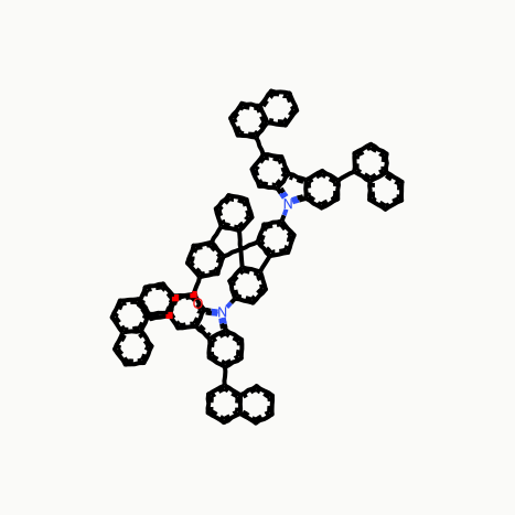 O=C(c1ccccc1)c1ccc2c(c1)C1(c3ccccc3-2)c2cc(-n3c4ccc(-c5cccc6ccccc56)cc4c4cc(-c5cccc6ccccc56)ccc43)ccc2-c2ccc(-n3c4ccc(-c5cccc6ccccc56)cc4c4cc(-c5cccc6ccccc56)ccc43)cc21